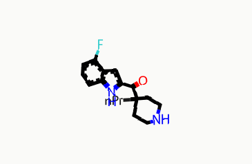 CCCC1(C(=O)c2cc3c(F)cccc3[nH]2)CCNCC1